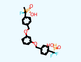 CC(F)(c1ccc(COc2cccc(OCc3ccc(C(F)(F)[PH](=O)O)cc3)c2)cc1)[PH](=O)O